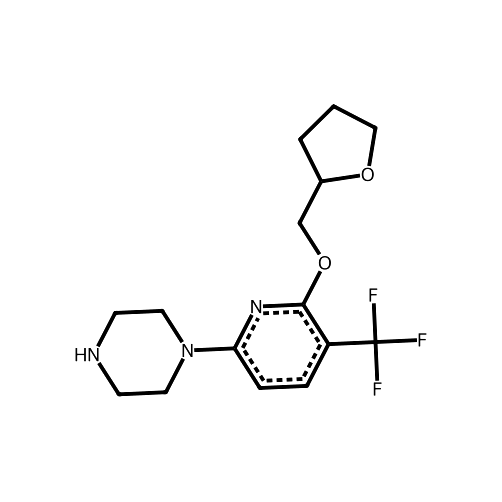 FC(F)(F)c1ccc(N2CCNCC2)nc1OCC1CCCO1